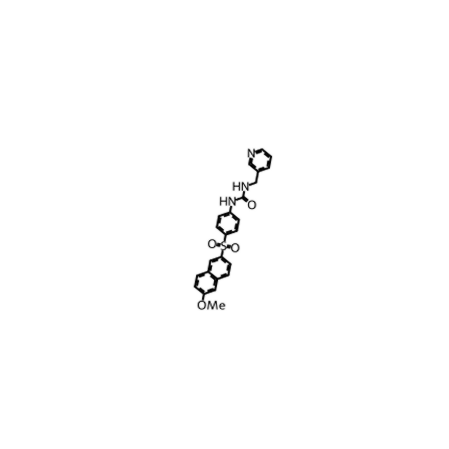 COc1ccc2cc(S(=O)(=O)c3ccc(NC(=O)NCc4cccnc4)cc3)ccc2c1